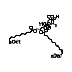 CCCCCCCC/C=C\CCCCCCCC(=O)OC[C@H](COP(=O)(O)OC[C@H](N)C(=O)O)OC(=O)CCCCCCCCC/C=C\CCCCCCCCCC